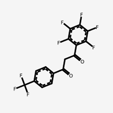 O=C(CC(=O)c1c(F)c(F)c(F)c(F)c1F)c1ccc(C(F)(F)F)cc1